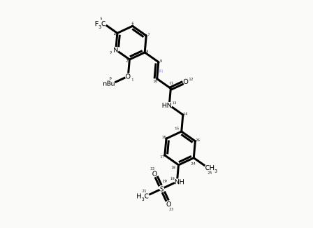 CCCCOc1nc(C(F)(F)F)ccc1/C=C/C(=O)NCc1ccc(NS(C)(=O)=O)c(C)c1